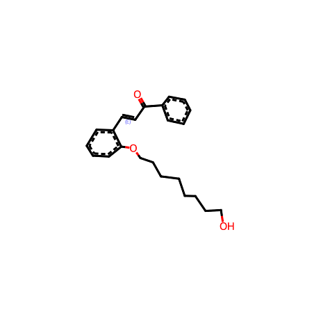 O=C(/C=C/c1ccccc1OCCCCCCCCO)c1ccccc1